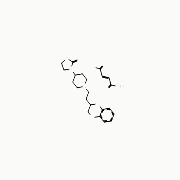 O=C(O)C=CC(=O)O.O=C1NCCN1C1CCN(CCC2COc3ccccc3O2)CC1